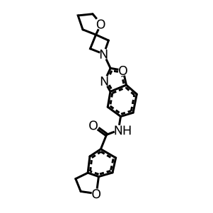 O=C(Nc1ccc2oc(N3CC4(CCCO4)C3)nc2c1)c1ccc2c(c1)CCO2